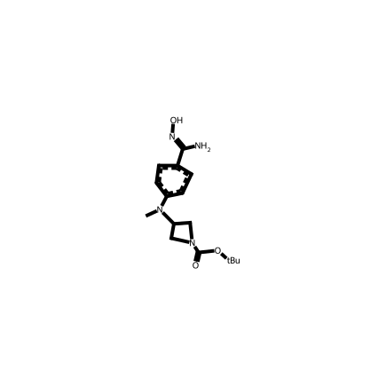 CN(c1ccc(C(N)=NO)cc1)C1CN(C(=O)OC(C)(C)C)C1